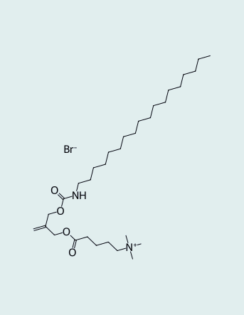 C=C(COC(=O)CCCC[N+](C)(C)C)COC(=O)NCCCCCCCCCCCCCCCCCC.[Br-]